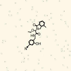 CCOC(C(=O)NCc1ccc(C#N)cc1O)N1Cc2c(C)cccc2C1=O